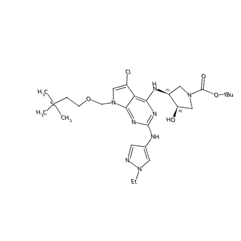 CCn1cc(Nc2nc(N[C@H]3CN(C(=O)OC(C)(C)C)C[C@H]3O)c3c(Cl)cn(COCC[Si](C)(C)C)c3n2)cn1